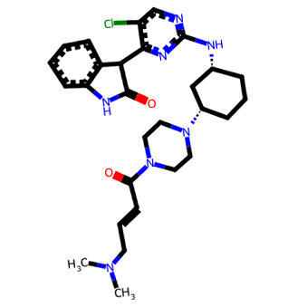 CN(C)C/C=C/C(=O)N1CCN([C@H]2CCC[C@@H](Nc3ncc(Cl)c(C4C(=O)Nc5ccccc54)n3)C2)CC1